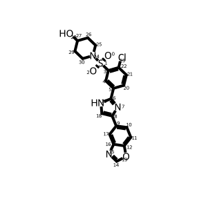 O=S(=O)(c1cc(-c2nc(-c3ccc4ocnc4c3)c[nH]2)ccc1Cl)N1CCC(O)CC1